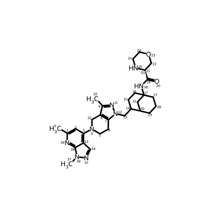 Cc1cc(N2CCc3c(c(C)nn3CC3CCC4(NC(=O)[C@@H]5COCCN5)CCCC3C4)C2)c2cnn(C)c2n1